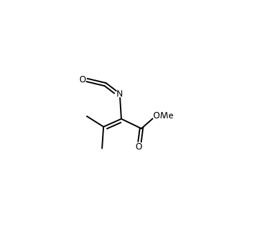 COC(=O)C(N=C=O)=C(C)C